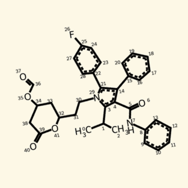 CC(C)c1c(C(=O)Nc2ccccc2)c(-c2ccccc2)c(-c2ccc(F)cc2)n1CCC1CC(OC=O)CC(=O)O1